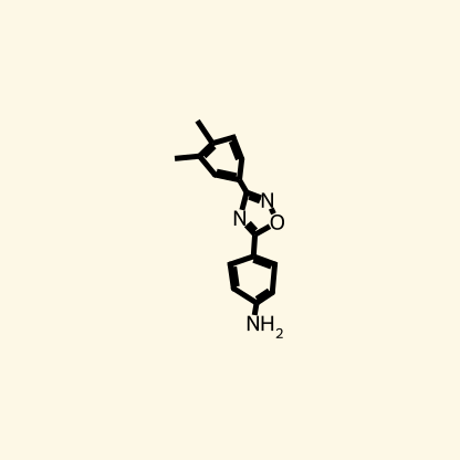 Cc1ccc(-c2noc(-c3ccc(N)cc3)n2)cc1C